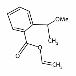 C=COC(=O)c1ccccc1C(C)OC